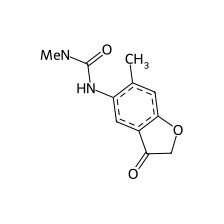 CNC(=O)Nc1cc2c(cc1C)OCC2=O